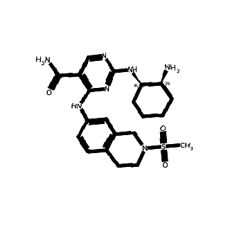 CS(=O)(=O)N1CCc2ccc(Nc3nc(N[C@@H]4CCCC[C@@H]4N)ncc3C(N)=O)cc2C1